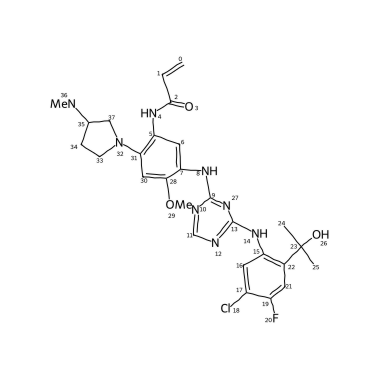 C=CC(=O)Nc1cc(Nc2ncnc(Nc3cc(Cl)c(F)cc3C(C)(C)O)n2)c(OC)cc1N1CCC(NC)C1